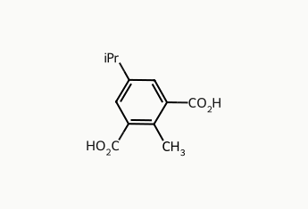 Cc1c(C(=O)O)cc(C(C)C)cc1C(=O)O